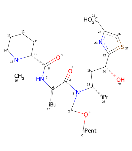 CCCCCOCN(C(=O)C(NC(=O)[C@H]1CCCCN1C)[C@@H](C)CC)[C@H](C[C@@H](O)c1nc(C(=O)O)cs1)C(C)C